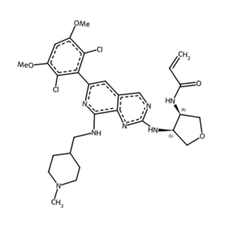 C=CC(=O)N[C@H]1COC[C@H]1Nc1ncc2cc(-c3c(Cl)c(OC)cc(OC)c3Cl)nc(NCC3CCN(C)CC3)c2n1